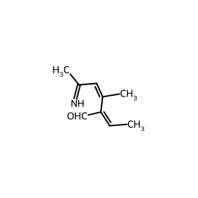 C/C=C(C=O)\C(C)=C/C(C)=N